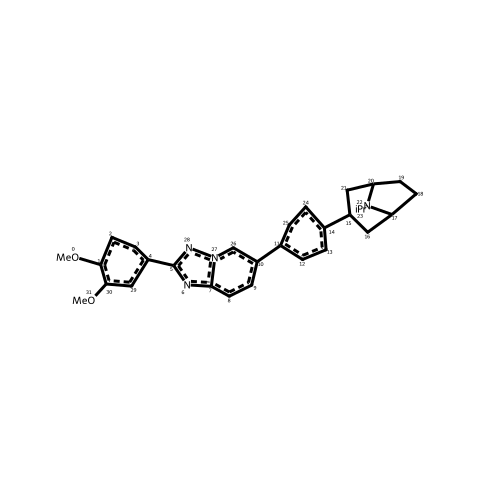 COc1ccc(-c2nc3ccc(-c4ccc(C5CC6CCC(C5)N6C(C)C)cc4)cn3n2)cc1OC